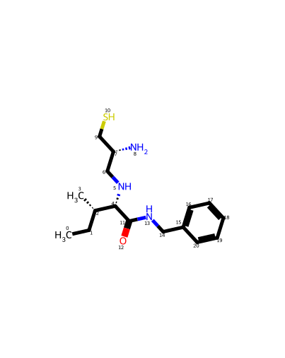 CC[C@H](C)[C@H](NC[C@@H](N)CS)C(=O)NCc1ccccc1